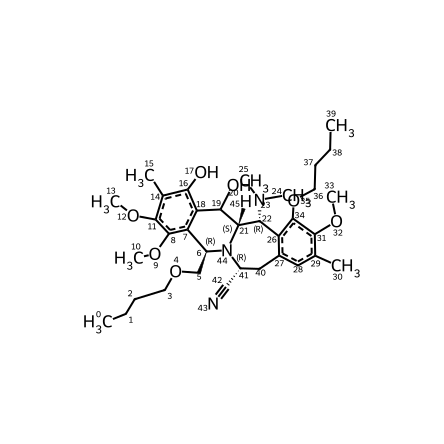 CCCCOC[C@H]1c2c(OC)c(OC)c(C)c(O)c2C(O)[C@@H]2[C@H](N(C)C)c3c(cc(C)c(OC)c3OCCCC)C[C@H](C#N)N21